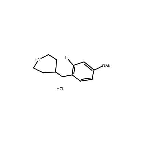 COc1ccc(CC2CCNCC2)c(F)c1.Cl